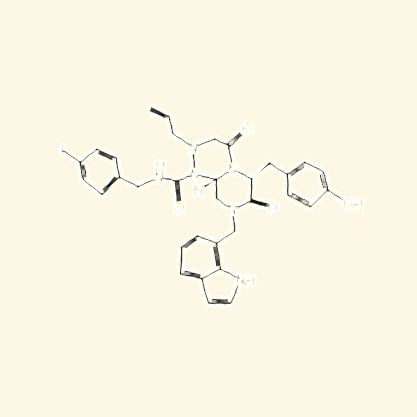 C=CCN1CC(=O)N2[C@@H](Cc3ccc(O)cc3)C(=O)N(Cc3cccc4cc[nH]c34)C[C@@H]2N1C(=O)NCc1ccc(I)cc1